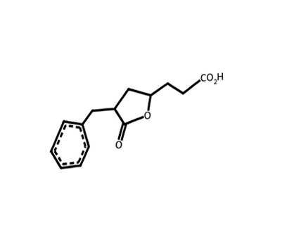 O=C(O)CCC1CC(Cc2ccccc2)C(=O)O1